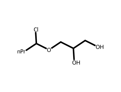 CCCC(Cl)OCC(O)CO